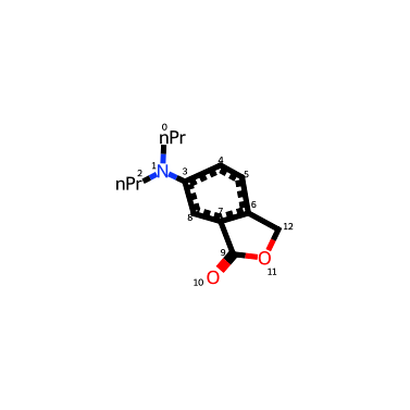 CCCN(CCC)c1ccc2c(c1)C(=O)OC2